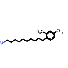 Cc1ccc(CCCCCCCCCCN)c(C)c1